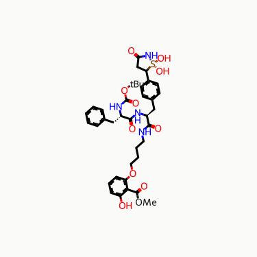 COC(=O)c1c(O)cccc1OCCCCNC(=O)[C@H](Cc1ccc(C2CC(=O)NS2(O)O)cc1)NC(=O)[C@H](Cc1ccccc1)NC(=O)OC(C)(C)C